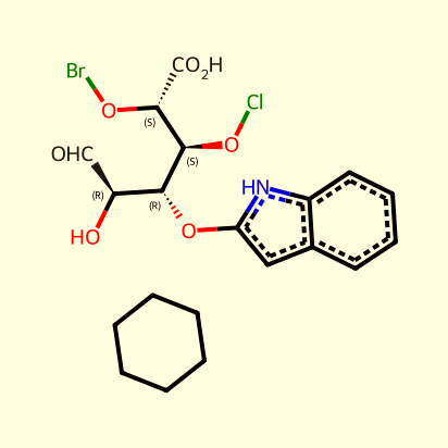 C1CCCCC1.O=C[C@H](O)[C@@H](Oc1cc2ccccc2[nH]1)[C@H](OCl)[C@H](OBr)C(=O)O